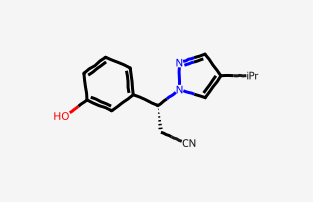 CC(C)c1cnn([C@H](CC#N)c2cccc(O)c2)c1